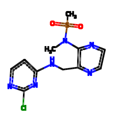 CN(c1nccnc1CNc1ccnc(Cl)n1)S(C)(=O)=O